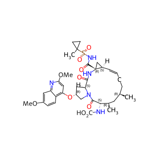 COc1ccc2c(O[C@@H]3C[C@H]4C(=O)N[C@]5(C(=O)NS(=O)(=O)C6(C)CC6)C[C@H]5C=CCC[C@@H](C)C[C@@H](C)[C@H](NC(=O)O)C(=O)N4C3)cc(OC)nc2c1